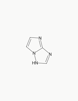 c1cn2[nH]cnc2n1